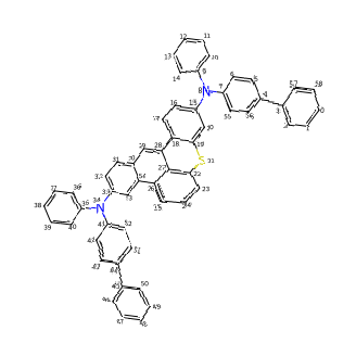 c1ccc(-c2ccc(N(c3ccccc3)c3ccc4c(c3)Sc3cccc5c3c-4cc3ccc(N(c4ccccc4)c4ccc(-c6ccccc6)cc4)cc35)cc2)cc1